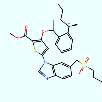 CCC[C@@H](C)c1ccccc1C(C)Oc1cc(-n2cnc3ccc(CS(=O)(=O)CCC(=O)OC)cc32)sc1C(=O)OC